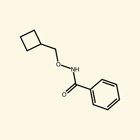 O=C(NOCC1CCC1)c1ccccc1